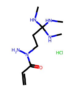 C=CC(=O)N(N)CCC(NC)(NC)NC.Cl